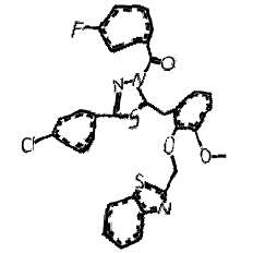 COc1cccc(C2SC(c3ccc(Cl)cc3)=NN2C(=O)c2cccc(F)c2)c1OCc1nc2ccccc2s1